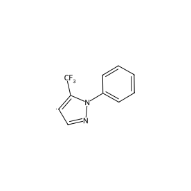 FC(F)(F)c1[c]cnn1-c1ccccc1